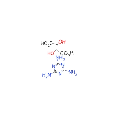 Nc1nc(N)nc(N)n1.O=C(O)C(O)C(O)C(=O)O